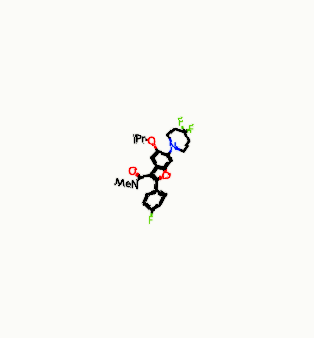 CNC(=O)c1c(-c2ccc(F)cc2)oc2cc(N3CCC(F)(F)CC3)c(OC(C)C)cc12